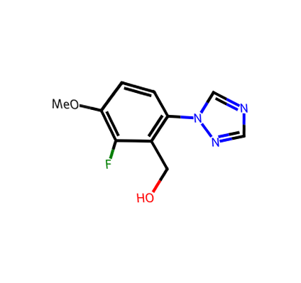 COc1ccc(-n2cncn2)c(CO)c1F